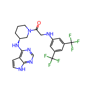 O=C(CNc1cc(C(F)(F)F)cc(C(F)(F)F)c1)N1CCC[C@H](Nc2ncnc3[nH]ccc23)C1